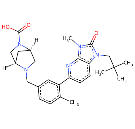 Cc1ccc(CN2C[C@H]3C[C@@H]2CN3C(=O)O)cc1-c1ccc2c(n1)n(C)c(=O)n2CC(C)(C)C